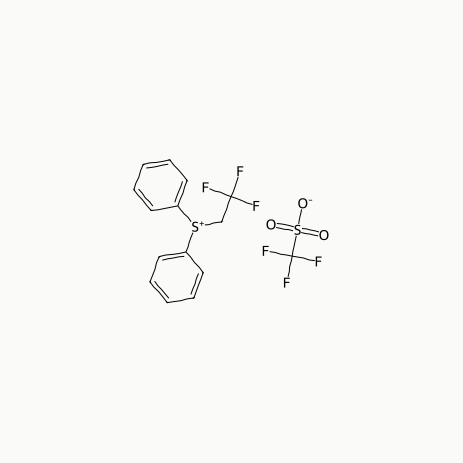 FC(F)(F)C[S+](c1ccccc1)c1ccccc1.O=S(=O)([O-])C(F)(F)F